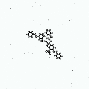 O=[N+]([O-])c1cc([C@@H](O)CN(Cc2ccccc2)[C@H](CO)Cc2ccc(OCc3ccccc3)cc2)ccc1OCc1ccccc1